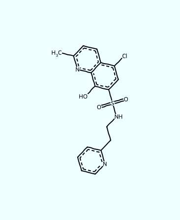 Cc1ccc2c(Cl)cc(S(=O)(=O)NCCc3ccccn3)c(O)c2n1